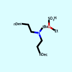 CCCCCCCCCCCCN(CCCCCCCCCCCC)C(C)(C)C.CCOS(=O)(=O)O